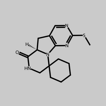 CSc1ncc2c(n1)N1[C@H](C2)C(=O)NCC12CCCCC2